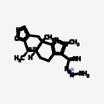 C[C@@H]1c2oncc2CC2(C)c3nn(C)c(C(=N)/N=N\N)c3CC[C@@H]12